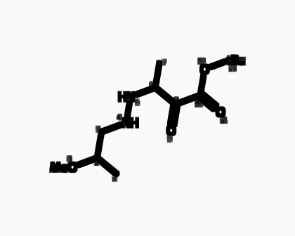 COC(C)CNNC(C)C(=O)C(=O)OC(C)(C)C